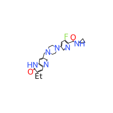 CCc1cc2ncc(CN3CCN(c4cnc(C(=O)NC5CC5)c(F)c4)CC3)cc2[nH]c1=O